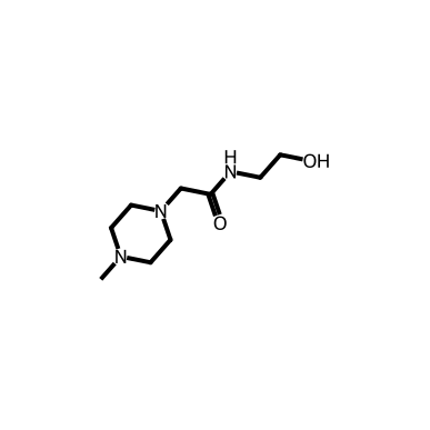 CN1CCN(CC(=O)NCCO)CC1